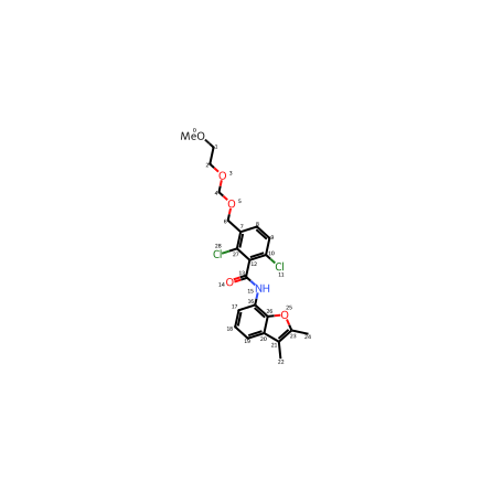 COCCOCOCc1ccc(Cl)c(C(=O)Nc2cccc3c(C)c(C)oc23)c1Cl